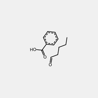 CCCCC=O.O=C(O)c1ccccc1